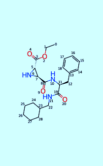 CCOC(=O)[C@H]1N[C@@H]1C(=O)N[C@@H](Cc1ccccc1)C(=O)NCC1CCCCC1